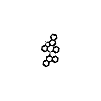 c1ccc(N(c2cc3ccccc3c3ccccc23)c2cccc3sc4c5ccccc5ccc4c23)cc1